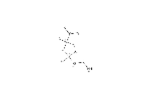 CC(C)C(C)(C)CC(C)(C)OCN